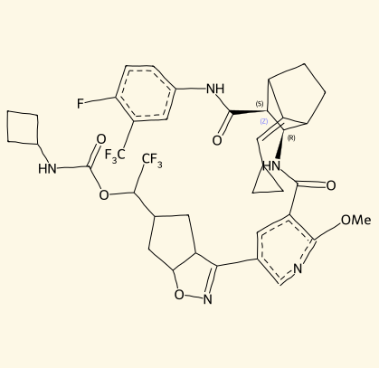 COc1ncc(C2=NOC3CC(C(OC(=O)NC4CCC4)C(F)(F)F)CC23)cc1C(=O)N[C@@H]1C2CCC(/C2=C/C2CC2)[C@@H]1C(=O)Nc1ccc(F)c(C(F)(F)F)c1